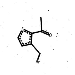 CC(=O)c1sccc1CBr